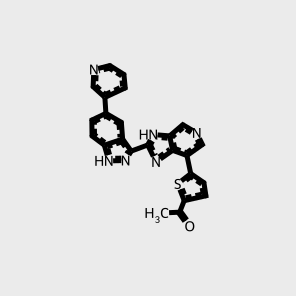 CC(=O)c1ccc(-c2cncc3[nH]c(-c4n[nH]c5ccc(-c6cccnc6)cc45)nc23)s1